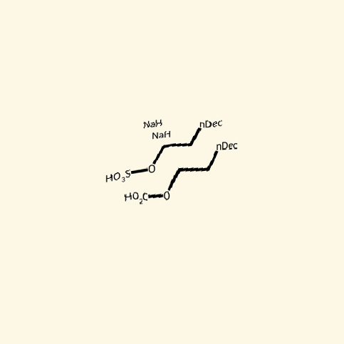 CCCCCCCCCCCCOC(=O)O.CCCCCCCCCCCCOS(=O)(=O)O.[NaH].[NaH]